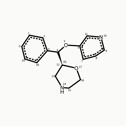 c1ccc(C(Oc2cccnc2)[C@@H]2CNCCO2)cc1